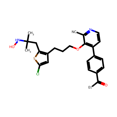 CCC(=O)c1ccc(-c2ccnc(C#N)c2OCCCc2cc(Cl)sc2CC(C)(C)NO)cc1